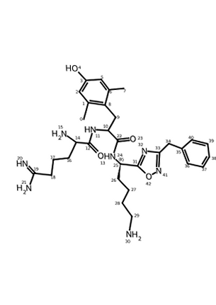 Cc1cc(O)cc(C)c1CC(NC(=O)C(N)CCCC(=N)N)C(=O)N[C@H](CCCCN)c1nc(Cc2ccccc2)no1